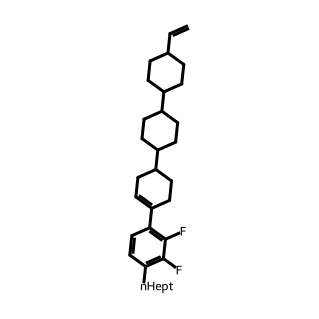 C=CC1CCC(C2CCC(C3CC=C(c4ccc(CCCCCCC)c(F)c4F)CC3)CC2)CC1